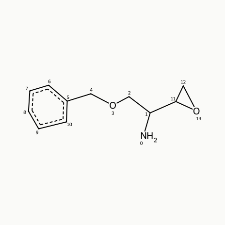 NC(COCc1ccccc1)C1CO1